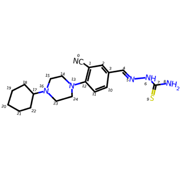 N#Cc1cc(C=NNC(N)=S)ccc1N1CCN(C2CCCCC2)CC1